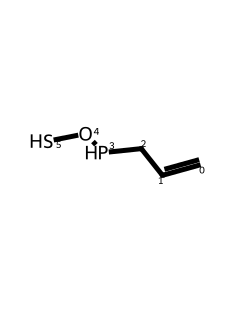 C=CCPOS